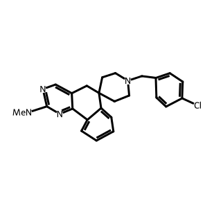 CNc1ncc2c(n1)-c1ccccc1C1(CCN(Cc3ccc(Cl)cc3)CC1)C2